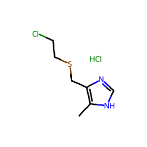 Cc1[nH]cnc1CSCCCl.Cl